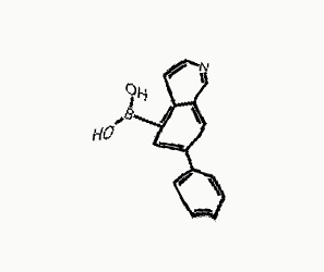 OB(O)c1cc(-c2ccccc2)cc2cnccc12